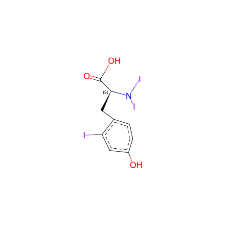 O=C(O)[C@H](Cc1ccc(O)cc1I)N(I)I